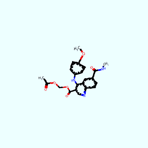 CNC(=O)c1ccc2ncc(C(=O)OCOC(C)=O)c(Nc3ccc(OC)cc3)c2c1